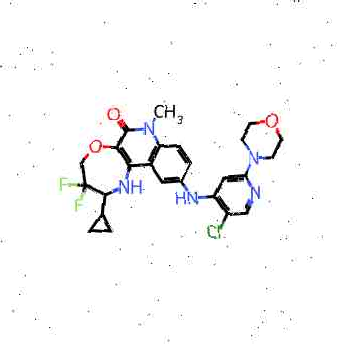 Cn1c(=O)c2c(c3cc(Nc4cc(N5CCOCC5)ncc4Cl)ccc31)NC(C1CC1)C(F)(F)CO2